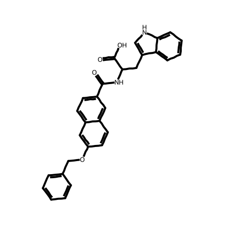 O=C(NC(Cc1c[nH]c2ccccc12)C(=O)O)c1ccc2cc(OCc3ccccc3)ccc2c1